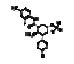 [2H]C([2H])([2H])O[C@@H]1C[C@H](c2ccc(Br)cc2)[C@@H](C(=O)O)[C@H](C(=O)Nc2ccc(C(F)(F)F)cc2F)C1